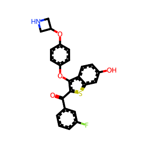 O=C(c1cccc(F)c1)c1sc2cc(O)ccc2c1Oc1ccc(OC2CNC2)cc1